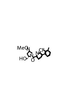 CO/N=C1\C[C@@H](CO)N(C(=O)c2ccc(-c3cccc(C)c3C)c(C(F)(F)F)n2)C1